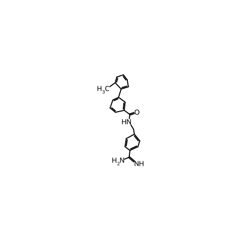 Cc1ccccc1-c1cccc(C(=O)NCc2ccc(C(=N)N)cc2)c1